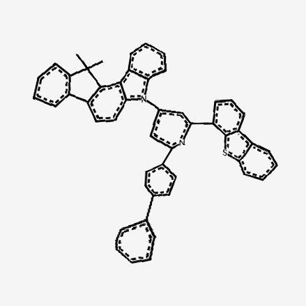 CC1(C)c2ccccc2-c2ccc3c(c21)c1ccccc1n3-c1cc(-c2ccc(-c3ccccc3)cc2)nc(-c2cccc3c2sc2ccccc23)c1